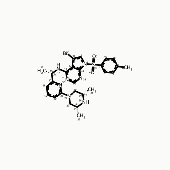 Cc1ccc(S(=O)(=O)n2cc(Br)c3c(N[C@@H](C)c4cccc(N5C[C@@H](C)N[C@@H](C)C5)n4)ncnc32)cc1